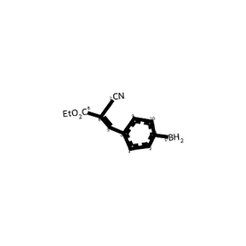 Bc1ccc(/C=C(\C#N)C(=O)OCC)cc1